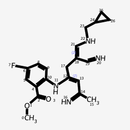 COC(=O)c1cc(F)ccc1N/C(=C\C(C)=N)C/C(C=N)=C/NCC1CC1